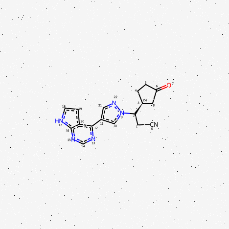 N#CCC([C@H]1CCC(=O)C1)n1cc(-c2ncnc3[nH]ccc23)cn1